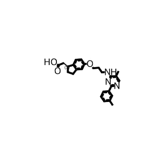 Cc1cccc(-c2ncc(C)c(NCCCOc3ccc4c(c3)CC[C@H]4CC(=O)O)n2)c1